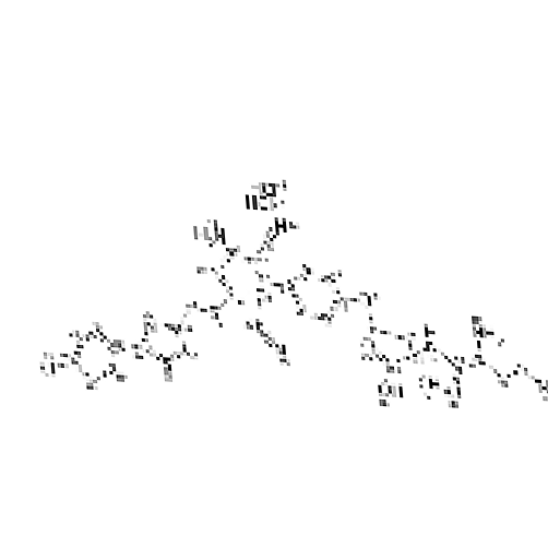 C[C@](CCOc1ccc(-c2c(C#N)c(N)nc(SCc3csc(-c4ccc(Cl)cc4)n3)c2C#N)cc1)(NC(=O)[C@@H](N)CCN)C(=O)O.Cl.Cl